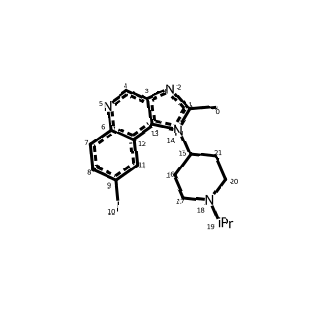 Cc1nc2cnc3ccc(I)cc3c2n1C1CCN(C(C)C)CC1